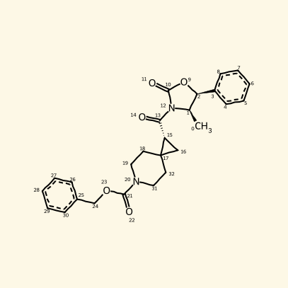 C[C@@H]1[C@H](c2ccccc2)OC(=O)N1C(=O)[C@@H]1CC12CCN(C(=O)OCc1ccccc1)CC2